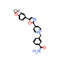 COc1ccc(-c2cnc(-c3cc[n+](Cc4cccc(C(N)=O)c4)cc3)o2)cc1